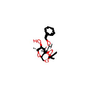 C[C@H]1OC2COC(C)(C)O[C@H]2[C@@H](OCc2ccccc2)C1O